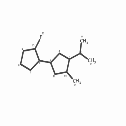 CC(C)C1CC(C2CCCC2F)CC1C